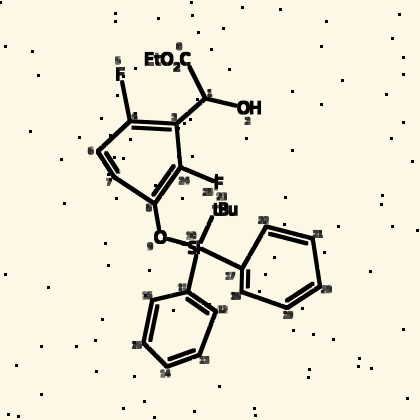 CCOC(=O)C(O)c1c(F)ccc(O[Si](c2ccccc2)(c2ccccc2)C(C)(C)C)c1F